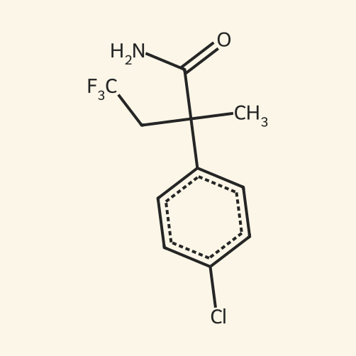 CC(CC(F)(F)F)(C(N)=O)c1ccc(Cl)cc1